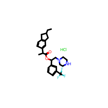 CCC1Cc2ccc(C(C)C(=O)OC(CN3CCNCC3)c3cccc(C(F)(F)F)c3)cc2C1.Cl